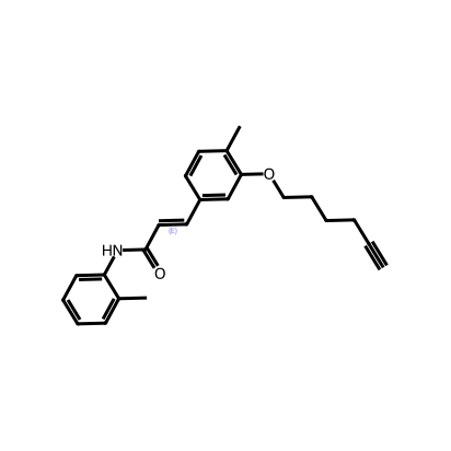 C#CCCCCOc1cc(/C=C/C(=O)Nc2ccccc2C)ccc1C